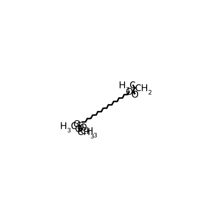 C=C(C)C(=O)OCCCCCCCCCCCCCCCCCC[Si](OC)(OC)OC